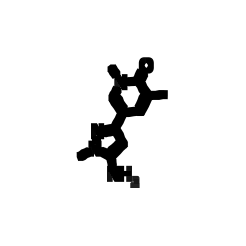 Cc1cc(-c2cc(N)n(C)n2)cn(C)c1=O